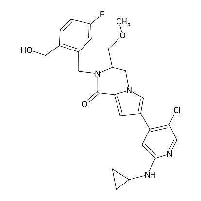 COCC1Cn2cc(-c3cc(NC4CC4)ncc3Cl)cc2C(=O)N1Cc1cc(F)ccc1CO